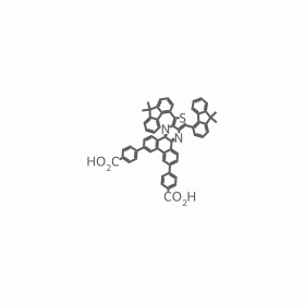 CC1(C)c2ccccc2-c2c(-c3sc(-c4cccc5c4-c4ccccc4C5(C)C)c4nc5c6ccc(-c7ccc(C(=O)O)cc7)cc6c6cc(-c7ccc(C(=O)O)cc7)ccc6c5nc34)cccc21